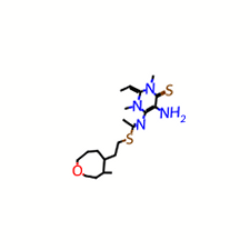 C/C=C1/N(C)C(=S)C(N)=C(/N=C(\C)SCCC2CCCOCCC2C)N1C